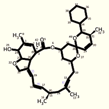 CC1=C[C@H]2C(=O)OC3CC(C/C=C(\C)C[C@@H](C)/C=C/C=C4\COC(C1O)C42)OC1(C=C[C@H](C)C(C2CCCCC2)O1)C3